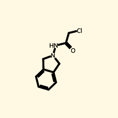 O=C(CCl)NN1Cc2ccccc2C1